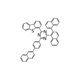 c1ccc2cc(-c3ccc(-c4nc(-c5c(-c6cccc7ccccc67)ccc6ccccc56)nc(-c5cccc6c5sc5ccccc56)n4)cc3)ccc2c1